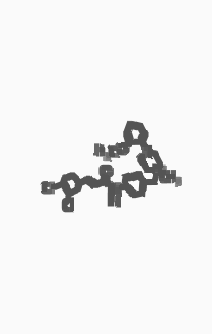 COc1ccccc1N1CC[N+](C)(Cc2ccc(NC(=O)C=Cc3ccc(Cl)c(Cl)c3)cc2)CC1